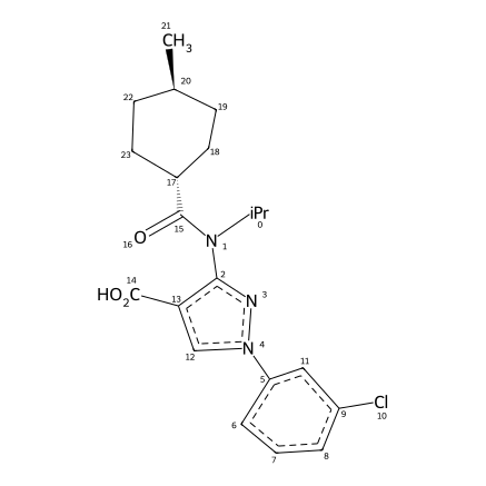 CC(C)N(c1nn(-c2cccc(Cl)c2)cc1C(=O)O)C(=O)[C@H]1CC[C@H](C)CC1